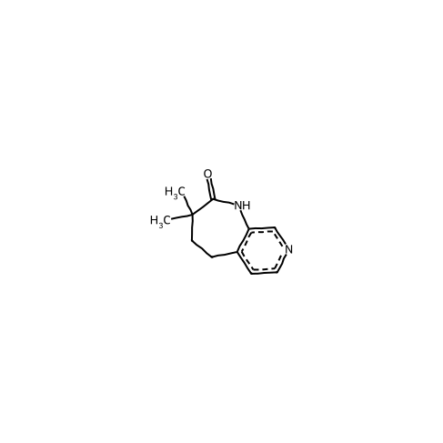 CC1(C)CCc2ccncc2NC1=O